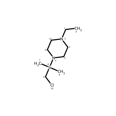 CCN1CCN([Si](C)(C)CCl)CC1